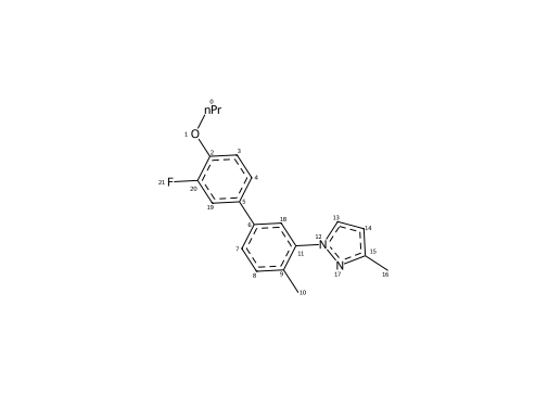 CCCOc1ccc(-c2ccc(C)c(-n3ccc(C)n3)c2)cc1F